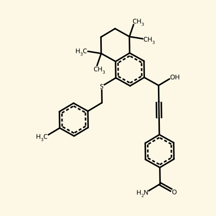 Cc1ccc(CSc2cc(C(O)C#Cc3ccc(C(N)=O)cc3)cc3c2C(C)(C)CCC3(C)C)cc1